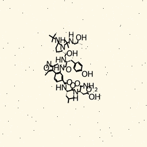 Cc1noc(C)c1-c1ccc(C(=O)N[C@@H](CC(C)C)C(=O)N[C@H](CC(=O)O)C(N)=O)cc1NC(=O)[C@H](Cc1ccc(O)cc1)NC(O)[C@@H]1CCC(NC(C)(C)C)N1C(C)(C)NC[C@@H](C)O